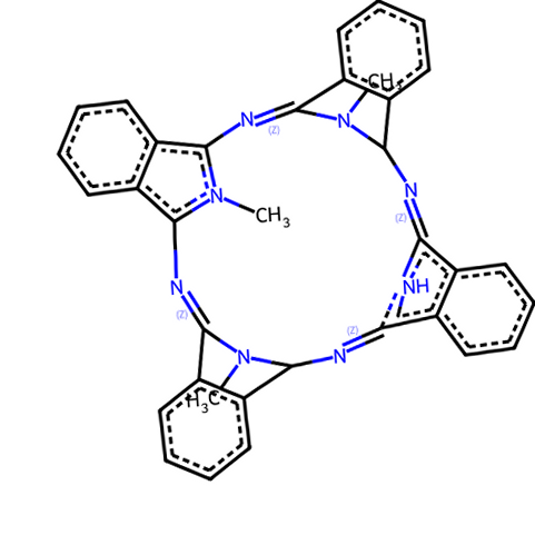 CN1/C2=N\c3c4ccccc4c(n3C)/N=C3/c4ccccc4C(/N=c4\[nH]/c(c5ccccc45)=N\C1c1ccccc12)N3C